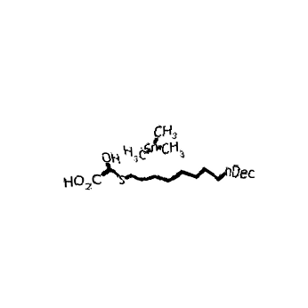 CCCCCCCCCCCCCCCCCCSC(O)C(=O)O.[CH3][Sn]([CH3])[CH3]